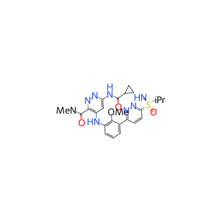 CNC(=O)c1nnc(NC(=O)C2CC2)cc1Nc1cccc(-c2ccc(S(=N)(=O)C(C)C)nn2)c1OC